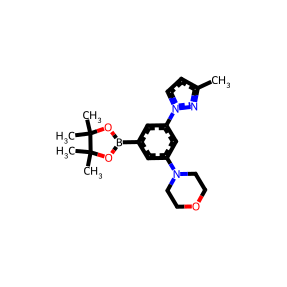 Cc1ccn(-c2cc(B3OC(C)(C)C(C)(C)O3)cc(N3CCOCC3)c2)n1